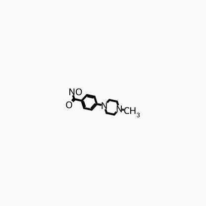 CN1CCN(c2ccc(C(=O)N=O)cc2)CC1